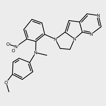 COc1ccc(N(C)c2c(N3CCn4c3cc3cncnc34)cccc2[N+](=O)[O-])cc1